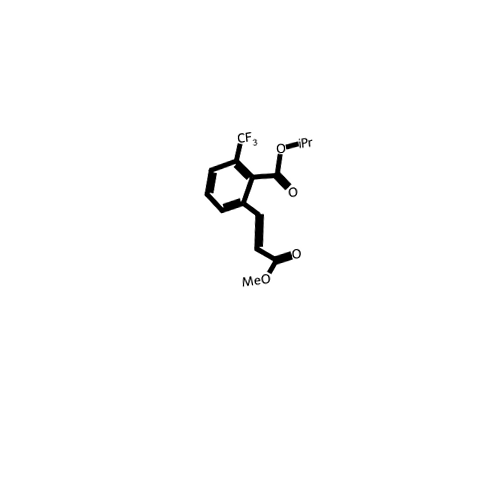 COC(=O)C=Cc1cccc(C(F)(F)F)c1C(=O)OC(C)C